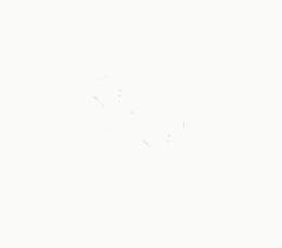 COc1ccccc1C(C)(C)c1ccc(C(C)C)c(Cl)c1